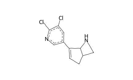 Clc1cc(C2=CCC3CNC23)cnc1Cl